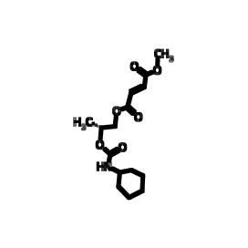 COC(=O)/C=C/C(=O)OC[C@@H](C)OC(=O)NC1CCCCC1